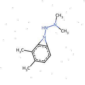 Cc1ccc2c(c1C)N2NN(C)C